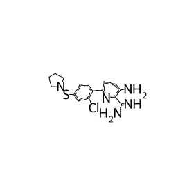 N=C(N)c1nc(-c2ccc(SN3CCCC3)cc2Cl)ccc1N